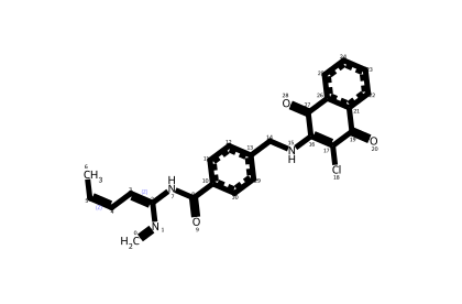 C=N/C(=C\C=C/C)NC(=O)c1ccc(CNC2=C(Cl)C(=O)c3ccccc3C2=O)cc1